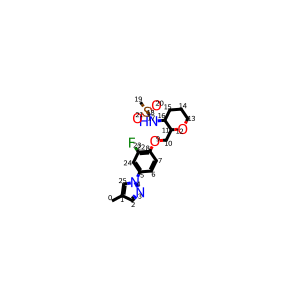 Cc1cnn(-c2ccc(OCC3OCCCC3NS(C)(=O)=O)c(F)c2)c1